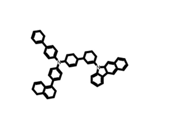 C1=CCCC(c2ccc(N(c3ccc(C4=C5C=CCCC5=CCC4)cc3)C3C=CC(C4C=C(N5c6ccccc6C6C=c7ccccc7=CC65)CCC4)CC3)cc2)=C1